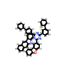 c1ccc(-c2ccc(-c3nc(-c4ccc5oc6ccccc6c5c4-n4c5ccccc5c5cc6ccccc6cc54)nc(-c4cccc5c4sc4ccccc45)n3)cc2)cc1